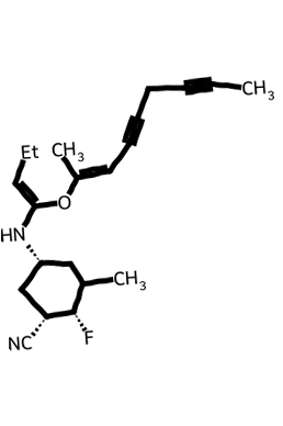 CC#CCC#C/C=C(\C)OC(=CCC)N[C@@H]1CC(C)[C@H](F)[C@H](C#N)C1